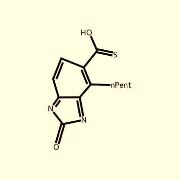 CCCCCc1c(C(O)=S)ccc2c1=NC(=O)N=2